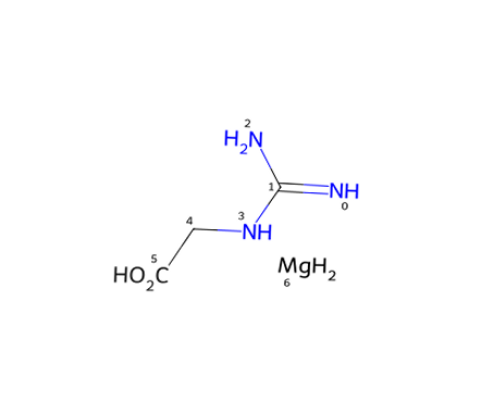 N=C(N)NCC(=O)O.[MgH2]